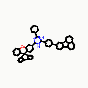 C1=CCCC(C2=NC(C3C=CC4=C(C3)Oc3ccccc3C43c4ccccc4-c4ccccc43)NC(c3ccc(-c4ccc5c(c4)-c4cccc6cccc-5c46)cc3)N2)=C1